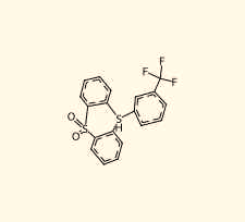 O=S1(=O)c2ccccc2[SH](c2cccc(C(F)(F)F)c2)c2ccccc21